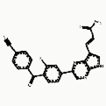 N#Cc1ccc(C(=O)c2ccc(-c3cnc4[nH]cc(C=CC(N)=O)c4n3)cc2F)cc1